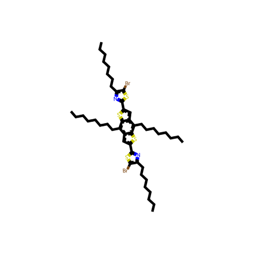 CCCCCCCCc1nc(-c2cc3c(CCCCCCCC)c4sc(-c5nc(CCCCCCCC)c(Br)s5)cc4c(CCCCCCCC)c3s2)sc1Br